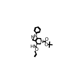 C=CCONC1CN(C(=O)OC(C)(C)C)Cc2c1cnn2-c1ccccc1